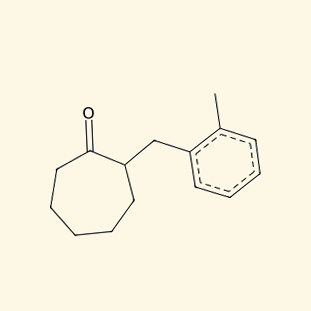 Cc1ccccc1CC1CCCCCC1=O